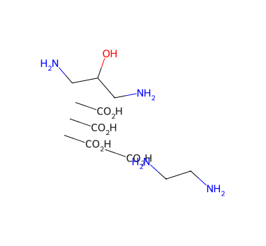 CC(=O)O.CC(=O)O.CC(=O)O.CC(=O)O.NCC(O)CN.NCCN